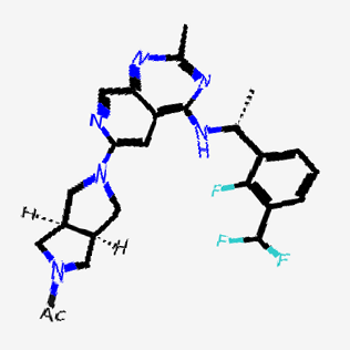 CC(=O)N1C[C@@H]2CN(c3cc4c(N[C@H](C)c5cccc(C(F)F)c5F)nc(C)nc4cn3)C[C@@H]2C1